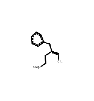 CC=C(CCCCCCCCC)Cc1[c]cccc1